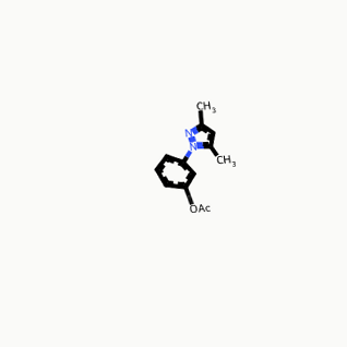 CC(=O)Oc1cccc(-n2nc(C)cc2C)c1